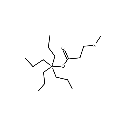 CCCP(CCC)(CCC)(CCC)OC(=O)CCSC